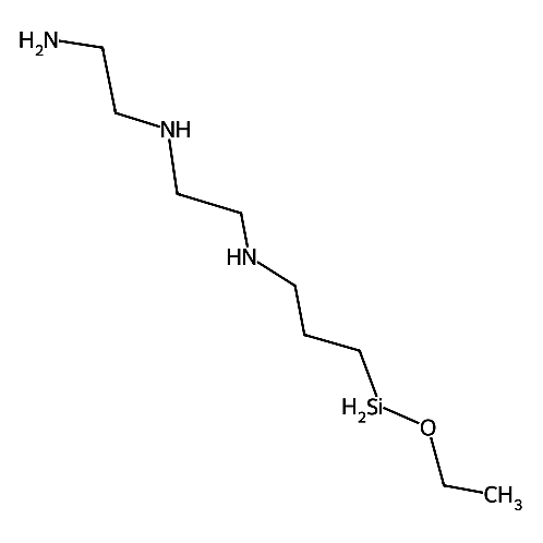 CCO[SiH2]CCCNCCNCCN